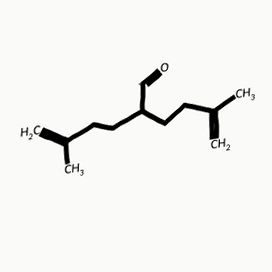 C=C(C)CCC([C]=O)CCC(=C)C